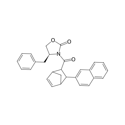 O=C1OC[C@H](Cc2ccccc2)N1C(=O)C1C2C=CC(C2)C1c1ccc2ccccc2c1